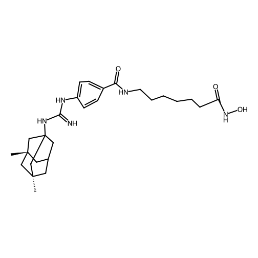 C[C@]12CC3CC(NC(=N)Nc4ccc(C(=O)NCCCCCCC(=O)NO)cc4)(C1)C[C@@](C)(C3)C2